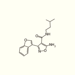 CC(C)CCNC(=O)c1c(-c2coc3ccccc23)noc1N